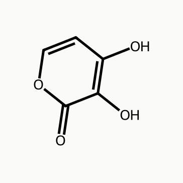 O=c1occc(O)c1O